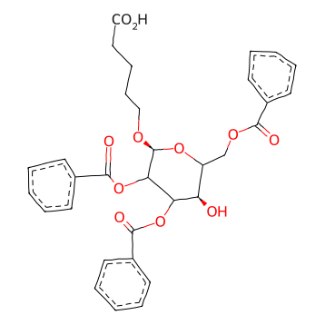 O=C(O)CCCCO[C@H]1OC(COC(=O)c2ccccc2)[C@@H](O)C(OC(=O)c2ccccc2)C1OC(=O)c1ccccc1